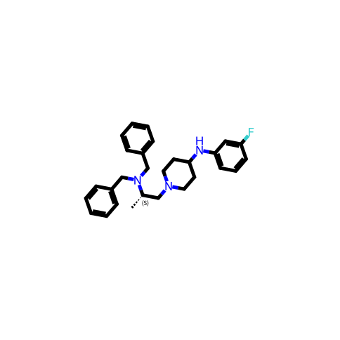 C[C@@H](CN1CCC(Nc2cccc(F)c2)CC1)N(Cc1ccccc1)Cc1ccccc1